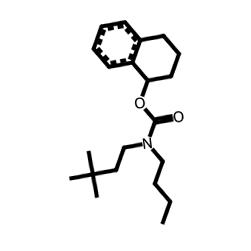 CCCCN(CCC(C)(C)C)C(=O)OC1CCCc2ccccc21